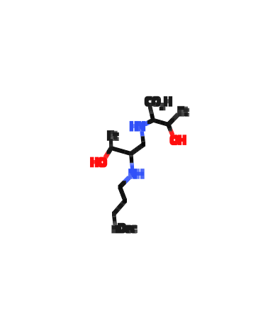 CCCCCCCCCCCCCNC(CNC(C(=O)O)C(O)CC)C(O)CC